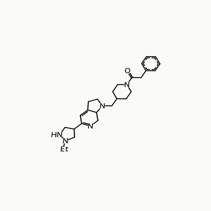 CCN1CC(C2=NCC3C(=C2)CCN3CC2CCN(C(=O)Cc3ccccc3)CC2)CN1